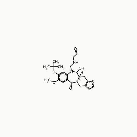 COc1cc2c(cc1OC(C)(C)C)N(CNCC=O)C(O)[C@@H]1Cc3sccc3CN1C2=O